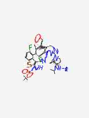 CC(C)N[C@H]1CCN(c2ncc3c4c(c(-c5c(F)ccc6sc(NC(=O)OC(C)(C)C)c(C#N)c56)c(F)c3n2)COC4)[C@@H]1C